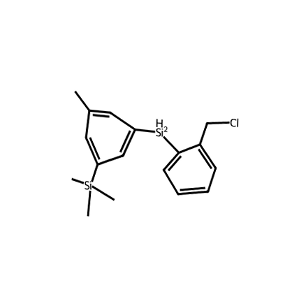 Cc1cc([SiH2]c2ccccc2CCl)cc([Si](C)(C)C)c1